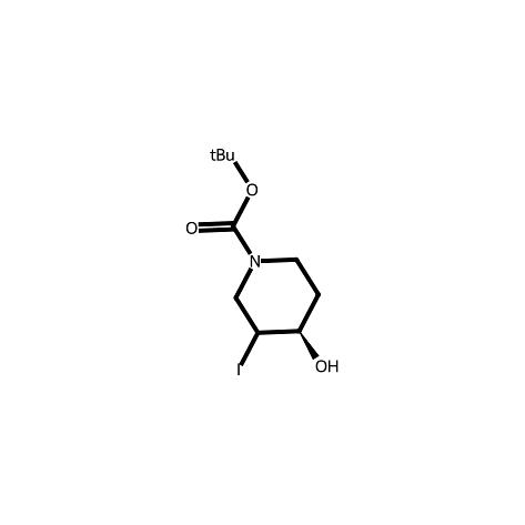 CC(C)(C)OC(=O)N1CC[C@@H](O)C(I)C1